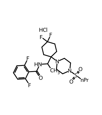 CCCS(=O)(=O)N1CCN(C2(C(C)NC(=O)c3c(F)cccc3F)CCC(F)(F)CC2)CC1.Cl